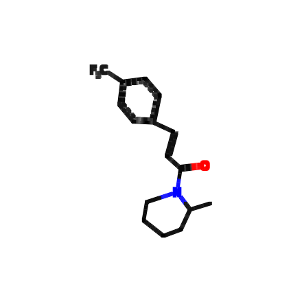 CC1CCCCN1C(=O)C=Cc1ccc(C(F)(F)F)cc1